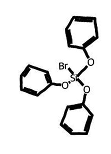 Br[Si](Oc1ccccc1)(Oc1ccccc1)Oc1ccccc1